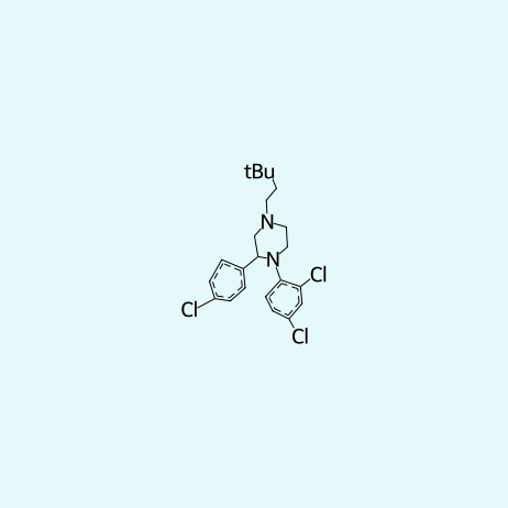 CC(C)(C)CCN1CCN(c2ccc(Cl)cc2Cl)C(c2ccc(Cl)cc2)C1